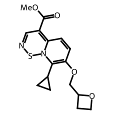 COC(=O)C1=C2C=CC(OCC3CCO3)=C(C3CC3)N2SN=C1